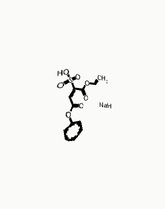 C=COC(=O)/C(=C\C(=O)Oc1ccccc1)S(=O)(=O)O.[NaH]